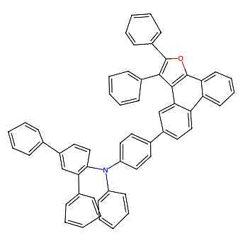 c1ccc(-c2ccc(N(c3ccccc3)c3ccc(-c4ccc5c6ccccc6c6oc(-c7ccccc7)c(-c7ccccc7)c6c5c4)cc3)c(-c3ccccc3)c2)cc1